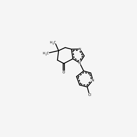 CC1(C)CC(=O)c2c(ncn2-c2ccc(Cl)nc2)C1